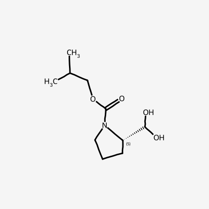 CC(C)COC(=O)N1CCC[C@H]1C(O)O